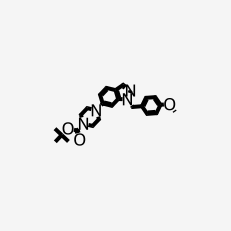 COc1ccc(Cn2ncc3ccc(N4CCN(C(=O)OC(C)(C)C)CC4)cc32)cc1